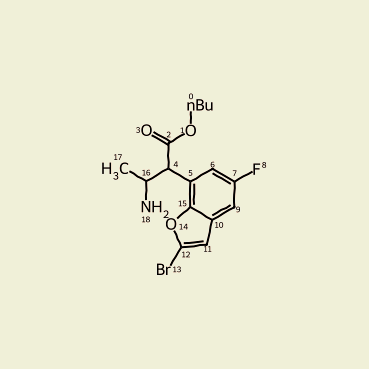 CCCCOC(=O)C(c1cc(F)cc2cc(Br)oc12)C(C)N